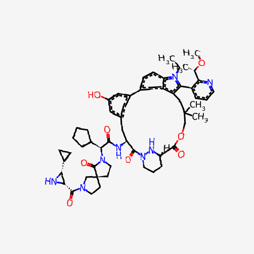 CCn1c(-c2cccnc2[C@H](C)OC)c2c3cc(ccc31)-c1cc(O)cc(c1)C[C@H](NC(=O)[C@H](C1CCCC1)N1CC[C@]3(CCN(C(=O)[C@@H]4N[C@@H]4C4CC4)C3)C1=O)C(=O)N1CCC[C@H](N1)C(=O)OCC(C)(C)C2